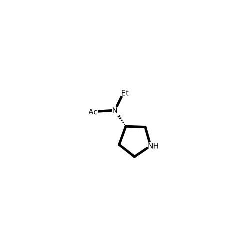 CCN(C(C)=O)[C@H]1CCNC1